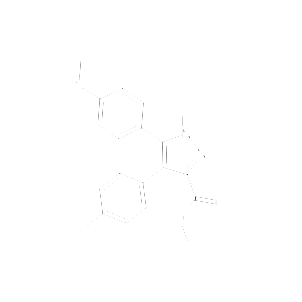 COC(=O)c1n[nH]c(-c2ccc(SC)cc2)c1-c1ccc(F)cc1